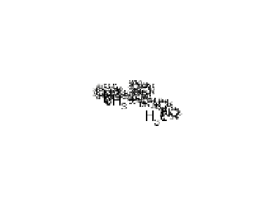 CN1c2ccccc2Cc2ccc(/C=C/c3ccc4c(c3)C3(c5ccccc5-c5ccccc53)c3cc(/C=C/c5ccc6c(c5)N(C)c5ccccc5C6)ccc3-4)cc21